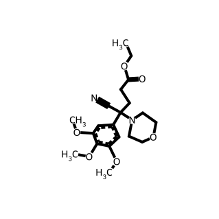 CCOC(=O)CCC(C#N)(c1cc(OC)c(OC)c(OC)c1)N1CCOCC1